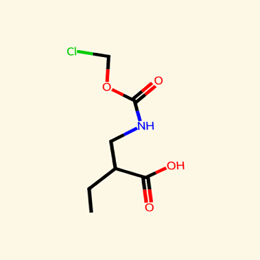 CCC(CNC(=O)OCCl)C(=O)O